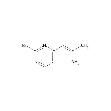 CC(N)=Cc1cccc(Br)n1